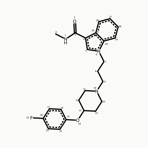 CNC(=O)c1cn(CCCN2CCC(Oc3ccc(F)cc3)CC2)c2ccccc12